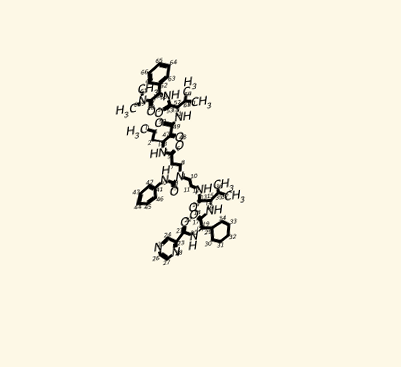 CCC[C@H](NC(=O)CCN(CCNC(=O)[C@@H](NC(=O)[C@@H](NC(=O)c1cnccn1)C1CCCCC1)C(C)C)C(=O)Nc1ccccc1)C(=O)C(=O)N[C@H](C(=O)N[C@H](C(=O)N(C)C)c1ccccc1)C(C)C